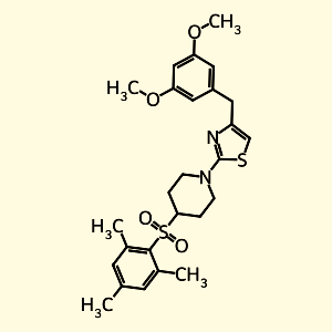 COc1cc(Cc2csc(N3CCC(S(=O)(=O)c4c(C)cc(C)cc4C)CC3)n2)cc(OC)c1